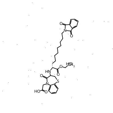 CCOC(=O)[C@@H](CCCCCCCCCN1C(=O)c2ccccc2C1=O)NC1CSc2ccccc2N(CC(=O)O)C1=O.Cl